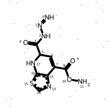 N=NNC(=O)C1C=C(C(=O)ON)c2ncsc2N1